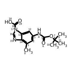 Cc1cc(NC(=O)OC(C)(C)C)cc2c1ncn2C(=O)O